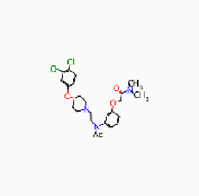 CC(=O)N(CCN1CCC(Oc2ccc(Cl)c(Cl)c2)CC1)c1cccc(OCC(=O)N(C)C)c1